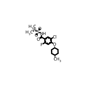 CN(C)S(=O)(=O)NC(=O)c1cc(Cl)c(O[C@H]2CC[C@H](C)CC2)cc1F